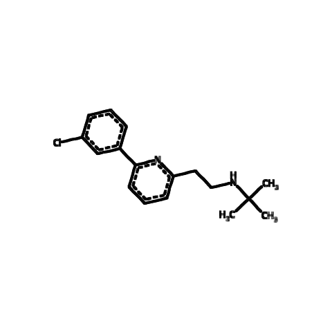 CC(C)(C)NCCc1cccc(-c2cccc(Cl)c2)n1